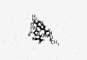 CCOc1ncc(-c2cc3c(N[C@@H]4CN(C(=O)C5(C#N)CC5)C[C@@H]4CF)c(C(N)=O)cnn3c2)cn1